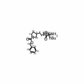 CCCCC(N)(CCCC)C(=O)NCCC1CCN(C(=O)OCc2ccccc2)C1